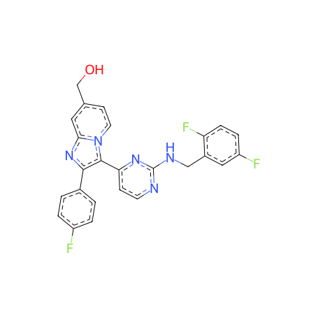 OCc1ccn2c(-c3ccnc(NCc4cc(F)ccc4F)n3)c(-c3ccc(F)cc3)nc2c1